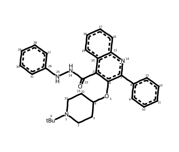 CC(C)(C)N1CCC(Oc2c(-c3ccccc3)nc3ccccc3c2C(=O)NNc2ccccc2)CC1